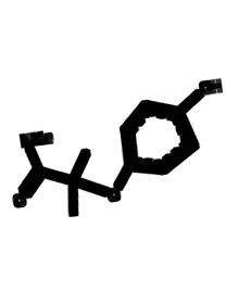 CNC(=O)C(C)(C)Oc1ccc(O)cc1